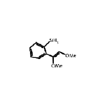 COC=C(OC)c1ccccc1[SiH3]